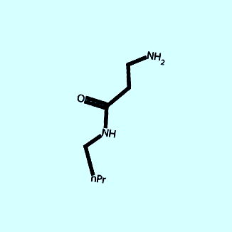 CCCCNC(=O)CCN